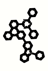 c1ccc(-c2nc(-c3ccccc3)nc(-c3cccc4c5ccccc5c5cc(-c6ccc7c(c6)c6ccccc6n7-c6ccccc6)ccc5c34)n2)cc1